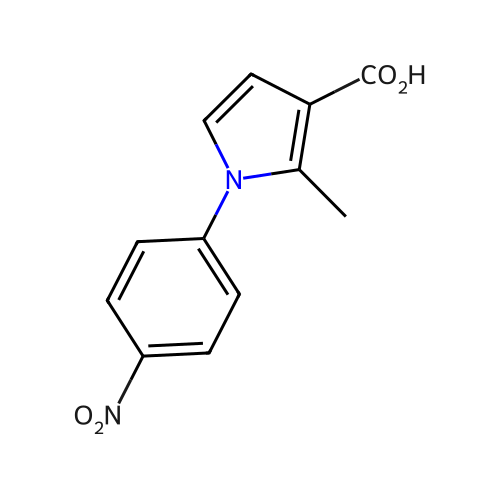 Cc1c(C(=O)O)ccn1-c1ccc([N+](=O)[O-])cc1